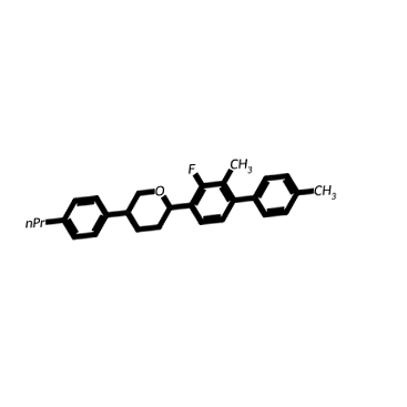 CCCc1ccc(C2CCC(c3ccc(-c4ccc(C)cc4)c(C)c3F)OC2)cc1